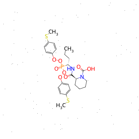 CCC[C@H](NC(=O)[C@@H]1CCCCN1C(=O)O)P(=O)(OOc1ccc(SC)cc1)OOc1ccc(SC)cc1